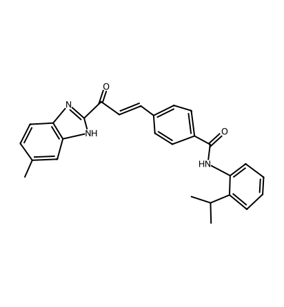 Cc1ccc2nc(C(=O)C=Cc3ccc(C(=O)Nc4ccccc4C(C)C)cc3)[nH]c2c1